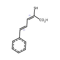 O=C(O)/C(S)=C\C=C\c1ccccc1